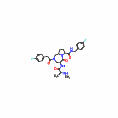 CN[C@@H](C)C(=O)N[C@H]1CN(C(=O)Cc2ccc(F)cc2)CC2CC[C@@H](C(=O)NCc3ccc(F)cc3)N2C1=O